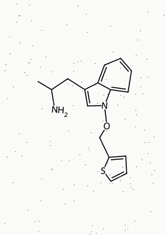 CC(N)Cc1cn(OCc2cccs2)c2ccccc12